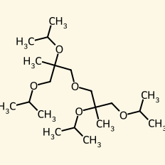 CC(C)OCC(C)(COCC(C)(COC(C)C)OC(C)C)OC(C)C